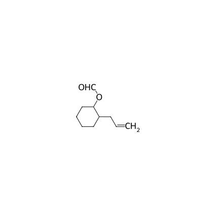 C=CCC1CCCCC1OC=O